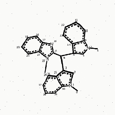 Cn1cc(C(c2cn(C)c3ccccc23)c2nc3ccccc3n2C)c2ccccc21